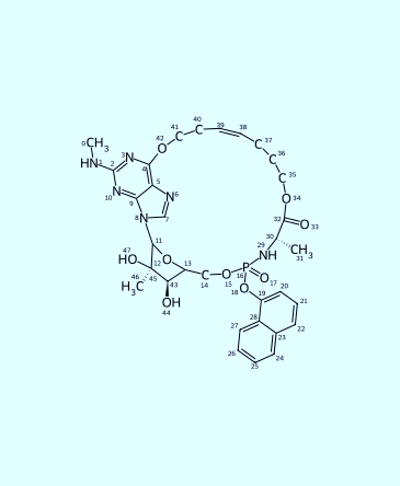 CNc1nc2c3ncn(c3n1)C1OC(COP(=O)(Oc3cccc4ccccc34)N[C@@H](C)C(=O)OCCCC=CCCO2)[C@@H](O)[C@@]1(C)O